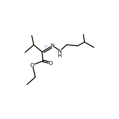 CCOC(=O)/C(=N\NCCC(C)C)C(C)C